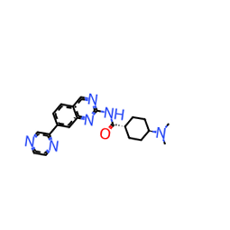 CN(C)[C@H]1CC[C@H](C(=O)Nc2ncc3ccc(-c4cnccn4)cc3n2)CC1